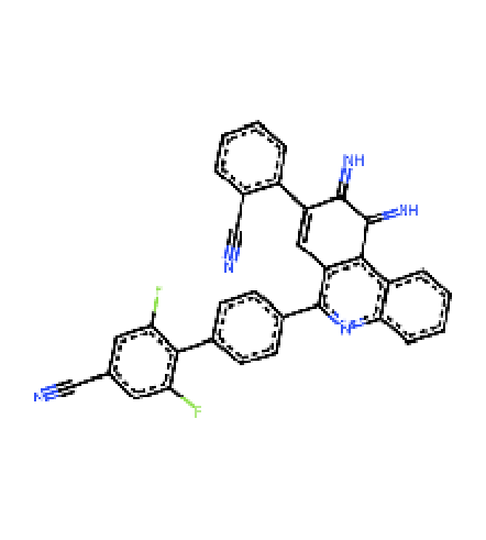 N#Cc1cc(F)c(-c2ccc(-c3nc4ccccc4c4c3C=C(c3ccccc3C#N)C(=N)C4=N)cc2)c(F)c1